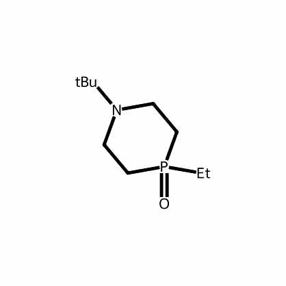 CCP1(=O)CCN(C(C)(C)C)CC1